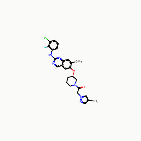 COc1cc2nc(Nc3cccc(Cl)c3F)ncc2cc1O[C@@H]1CCCN(C(=O)Cn2cc([N+](=O)[O-])cn2)C1